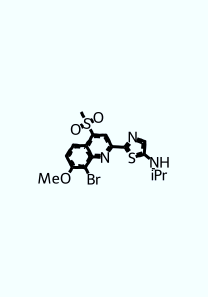 COc1ccc2c(S(C)(=O)=O)cc(-c3ncc(NC(C)C)s3)nc2c1Br